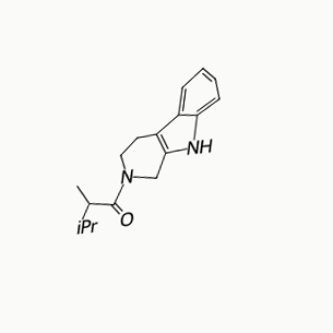 CC(C)C(C)C(=O)N1CCc2c([nH]c3ccccc23)C1